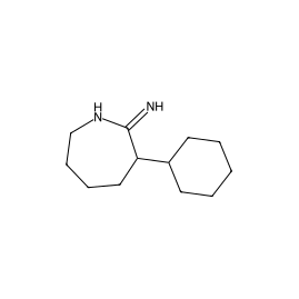 N=C1NCCCCC1C1CCCCC1